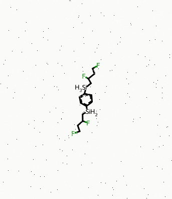 FCCC(F)C[SiH2]c1ccc([SiH2]CC(F)CCF)cc1